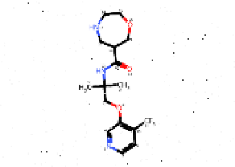 CC(C)(COc1cnccc1C(F)(F)F)NC(=O)C1CNCCOC1